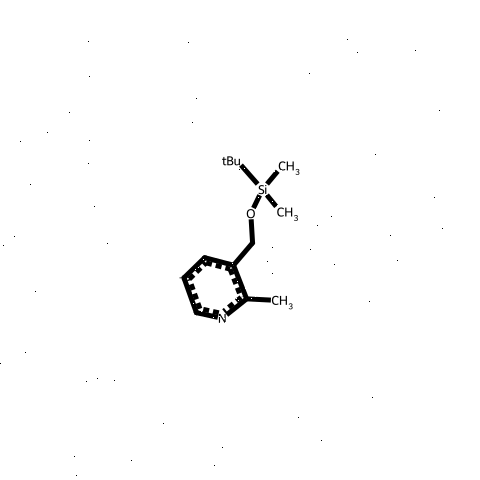 Cc1nc[c]cc1CO[Si](C)(C)C(C)(C)C